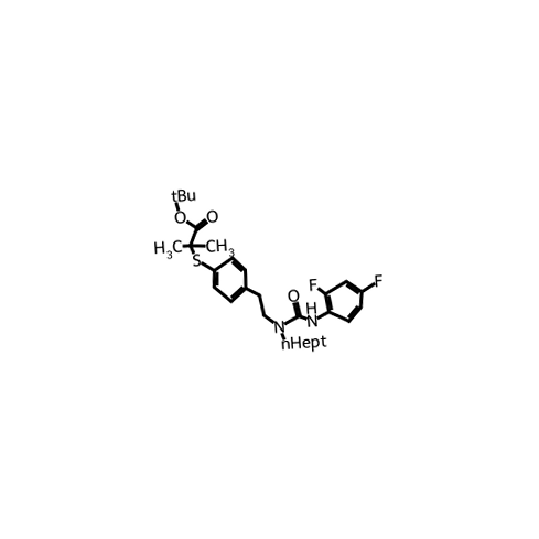 CCCCCCCN(CCc1ccc(SC(C)(C)C(=O)OC(C)(C)C)cc1)C(=O)Nc1ccc(F)cc1F